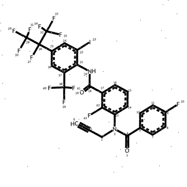 C#CCN(C(=O)c1ccc(F)cc1)c1cccc(C(=O)Nc2c(I)cc(C(F)(C(F)(F)F)C(F)(F)F)cc2C(F)(F)F)c1F